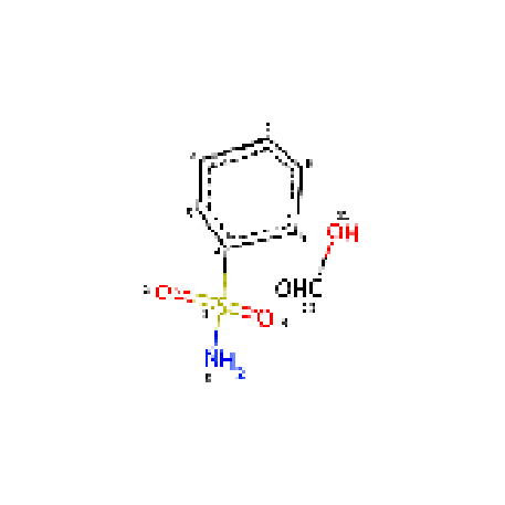 NS(=O)(=O)c1ccccc1.O=CO